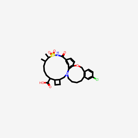 CC1CCCC(C(=O)O)C2CCC2CN2CCCCc3cc(Cl)ccc3COc3ccc(cc32)C(=O)NS(=O)(=O)C1C